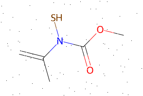 C=C(C)N(S)C(=O)OC